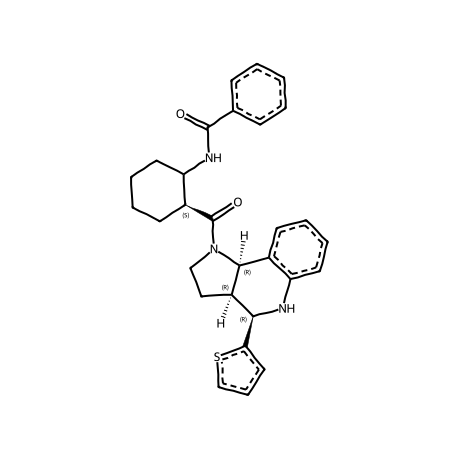 O=C(NC1CCCC[C@@H]1C(=O)N1CC[C@@H]2[C@H](c3cccs3)Nc3ccccc3[C@@H]21)c1ccccc1